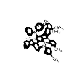 Cc1ccc(N2B3c4cc(C)ccc4-n4c5cc6c(cc5c5c(N(c7ccccc7)c7ccccc7)cc(c3c54)-c3c2ccc2c3C(C)(C)c3ccccc3-2)C(C)(C)CCC6(C)C)cc1